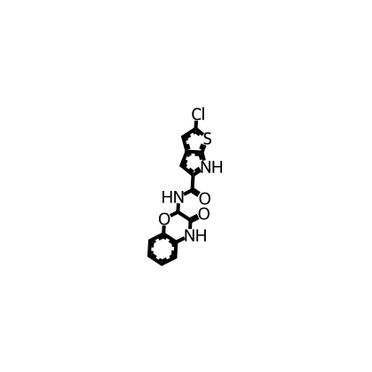 O=C(NC1Oc2ccccc2NC1=O)c1cc2cc(Cl)sc2[nH]1